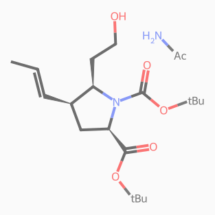 CC(N)=O.CC=C[C@@H]1C[C@H](C(=O)OC(C)(C)C)N(C(=O)OC(C)(C)C)[C@@H]1CCO